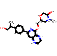 CC(CO)c1ccc(-c2cc3nccnc3c(OC[C@@H]3CN(C)C(=O)CO3)n2)cc1